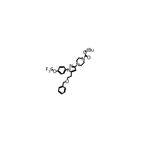 CC(C)(C)OC(=O)N1CCN(c2cc(CCOCc3ccccc3)n(-c3ccc(OC(F)(F)F)cc3)n2)CC1